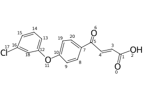 O=C(O)C=CC(=O)c1ccc(Oc2cccc(Cl)c2)cc1